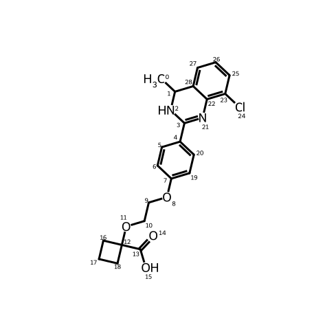 CC1NC(c2ccc(OCCOC3(C(=O)O)CCC3)cc2)=Nc2c(Cl)cccc21